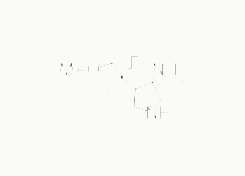 COCC(F)(F)C1CNCC1N